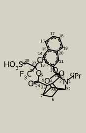 CC(C)N1C(=O)C2C3CC(C(OC(=O)c4ccc5ccccc5c4)C31)C2C(=O)OC(CS(=O)(=O)O)(C(F)(F)F)C(F)(F)F